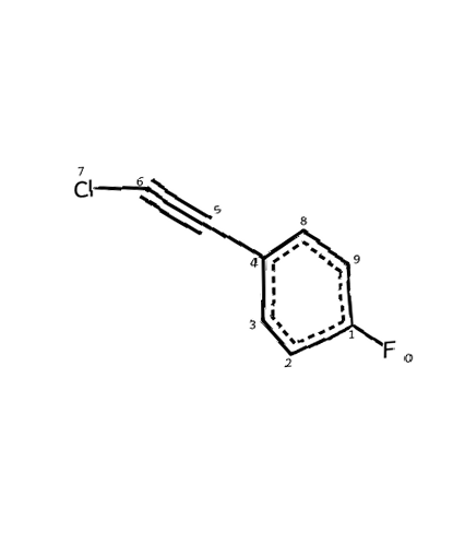 Fc1ccc(C#CCl)cc1